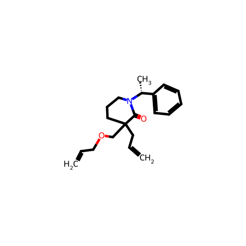 C=CCOCC1(CC=C)CCCN([C@H](C)c2ccccc2)C1=O